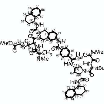 CN[C@@H](C)C(=O)N[C@H](C(=O)N1C[C@@H](NC(=O)c2ccc(C(=O)Nc3ccc4c(c3)CN(C(=O)[C@H](NC(=O)[C@H](C)NC)C(C)(C)SCC(=O)OC)[C@H](C(=O)N[C@@H]3CCCc5ccccc53)C4)cc2)C[C@H]1C(=O)N[C@@H]1CCCc2ccccc21)C(C)(C)C